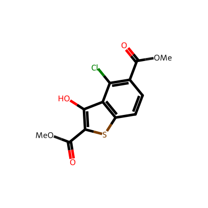 COC(=O)c1ccc2sc(C(=O)OC)c(O)c2c1Cl